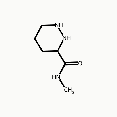 CNC(=O)C1CCCNN1